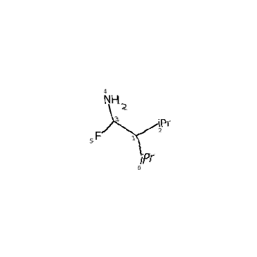 CC(C)C(C(C)C)C(N)F